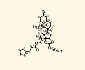 CCCCCOC(=O)O[C@]1(C(=O)COC(=O)CCC2CCCC2)CC[C@H]2[C@@H]3CCC4=CC(=O)CC[C@]4(C)[C@H]3[C@@H](O)C[C@@]21C